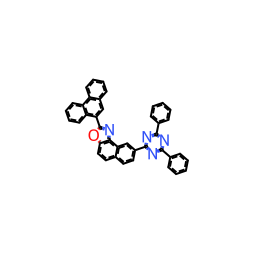 c1ccc(-c2nc(-c3ccccc3)nc(-c3ccc4ccc5oc(-c6cc7ccccc7c7ccccc67)nc5c4c3)n2)cc1